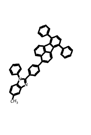 Cc1ccc2c(c1)nc(-c1ccc(-c3ccc4c5c(cccc35)-c3c(-c5ccccc5)ccc(-c5ccccc5)c3-4)cc1)n2-c1ccccc1